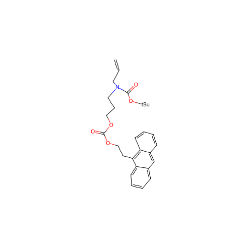 C=CCN(CCCOC(=O)OCCc1c2ccccc2cc2ccccc12)C(=O)OC(C)(C)C